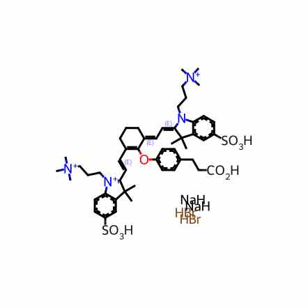 Br.Br.CC1(C)C(/C=C/C2=C(Oc3ccc(CCC(=O)O)cc3)C(=C/C=C3/N(CCC[N+](C)(C)C)c4ccc(S(=O)(=O)O)cc4C3(C)C)/CCC2)=[N+](CCC[N+](C)(C)C)c2ccc(S(=O)(=O)O)cc21.[NaH].[NaH]